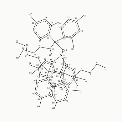 CCCCC(C)C(OP(OC(c1ccc(C)cc1C)(c1ccc(C)cc1C)C(C)CCCC)OC(c1ccc(C)cc1C)(c1ccc(C)cc1C)C(C)CCCC)(c1ccc(C)cc1C)c1ccc(C)cc1C